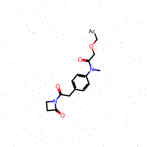 CC(=O)COCC(=O)N(C)c1ccc(CC(=O)N2CCC2=O)cc1